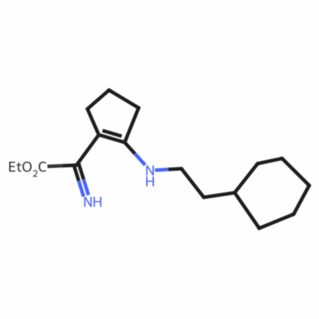 CCOC(=O)C(=N)C1=C(NCCC2CCCCC2)CCC1